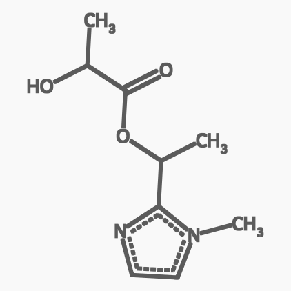 CC(O)C(=O)OC(C)c1nccn1C